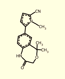 Cn1c(C#N)ccc1-c1ccc2c(c1)C(C)(C)OCC(=O)N2